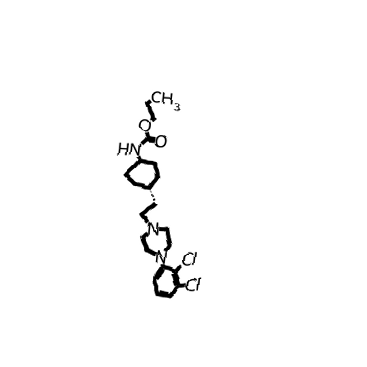 CCCOC(=O)N[C@H]1CC[C@H](CCN2CCN(c3cccc(Cl)c3Cl)CC2)CC1